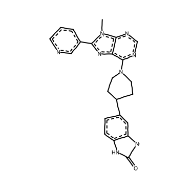 Cn1c(-c2cccnc2)nc2c(N3CCC(c4ccc5c(c4)[N]C(=O)N5)CC3)ncnc21